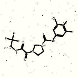 C[C@@H](NC(=O)C(=O)N1CC[C@H](C(=O)Nc2cc(F)c(F)c(Cl)c2)C1)C(F)(F)F